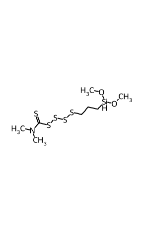 CO[SiH](CCCSSSSC(=S)N(C)C)OC